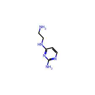 NCCNc1ccnc(N)n1